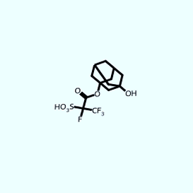 O=C(OC12CC3CC(CC(O)(C3)C1)C2)C(F)(C(F)(F)F)S(=O)(=O)O